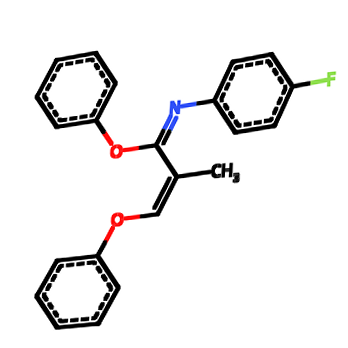 CC(=COc1ccccc1)C(=Nc1ccc(F)cc1)Oc1ccccc1